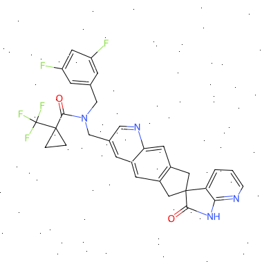 O=C1Nc2ncccc2C12Cc1cc3cc(CN(Cc4cc(F)cc(F)c4)C(=O)C4(C(F)(F)F)CC4)cnc3cc1C2